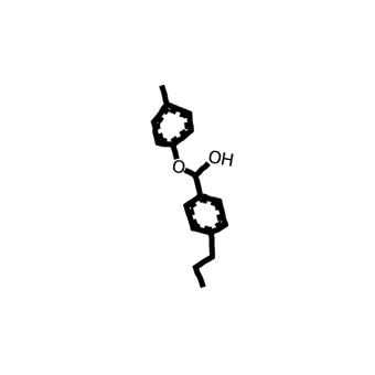 CCCc1ccc(C(O)Oc2ccc(C)cc2)cc1